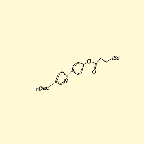 CCCCCCCCCCc1ccc(-c2ccc(OC(=O)CCC(C)CC)cc2)nc1